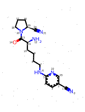 N#Cc1ccc(NCCCC[C@H](N)C(=O)N2CCC[C@H]2C#N)nc1